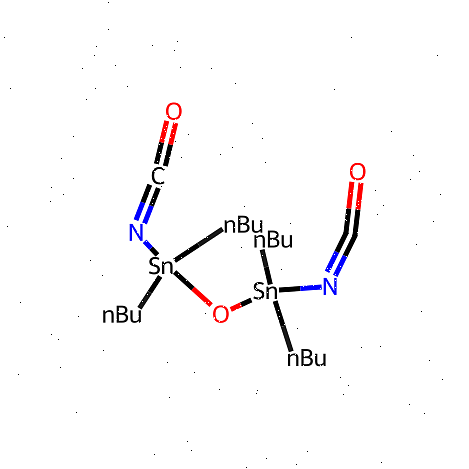 CCC[CH2][Sn]([CH2]CCC)([N]=C=O)[O][Sn]([CH2]CCC)([CH2]CCC)[N]=C=O